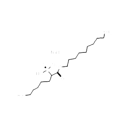 CCCCCCCCCCOC(=O)C(CCCCCC)P(=O)(O)O.[NaH]